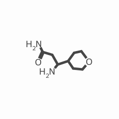 NC(=O)CC(N)C1CCOCC1